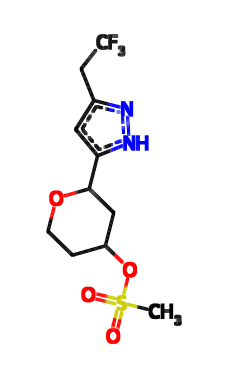 CS(=O)(=O)OC1CCOC(c2cc(CC(F)(F)F)n[nH]2)C1